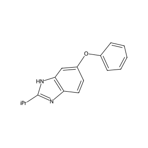 CC(C)c1nc2ccc(Oc3ccccc3)cc2[nH]1